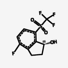 O=S(=O)(c1ccc(F)c2c1[C@H](O)CC2)C(F)(F)F